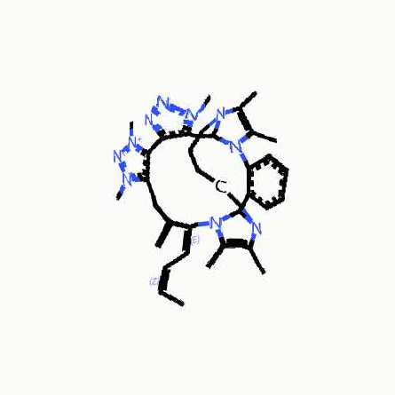 C=C1Cc2c([n+](C)nn2C)-c2nnn(C)c2C2N3CCCCN4C(C)=C(C)N(/C1=C/C=C\C)C4c1ccccc1N2C(C)=C3C